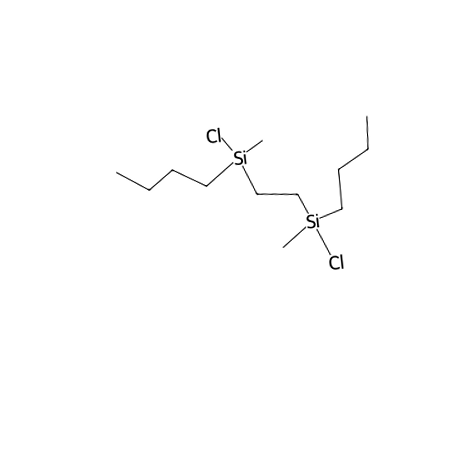 CCCC[Si](C)(Cl)CC[Si](C)(Cl)CCCC